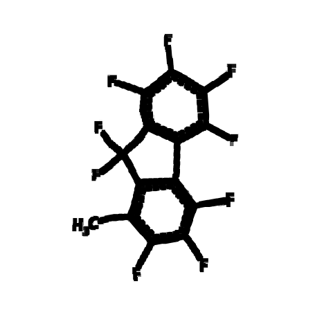 Cc1c(F)c(F)c(F)c2c1C(F)(F)c1c(F)c(F)c(F)c(F)c1-2